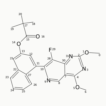 COc1nc(OC)c2cnc(-c3cc(OC(=O)C(C)(C)C)cc4ccccc34)c(F)c2n1